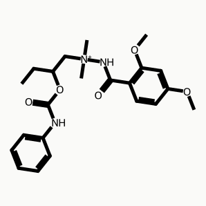 CCC(C[N+](C)(C)NC(=O)c1ccc(OC)cc1OC)OC(=O)Nc1ccccc1